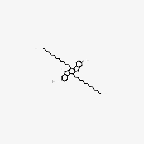 CCCCCCCCCCCCc1c2c(=O)c3cc(C)ccc3c2c(CCCCCCCCCCCC)c2c(=O)c3cc(C)ccc3c12